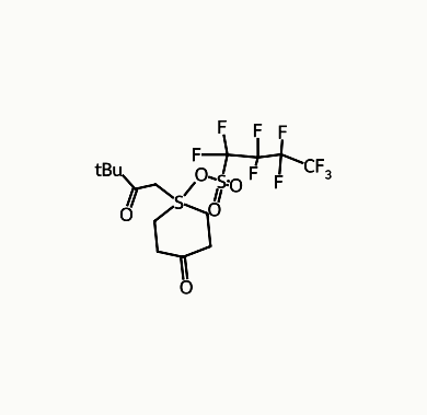 CC(C)(C)C(=O)CS1(OS(=O)(=O)C(F)(F)C(F)(F)C(F)(F)C(F)(F)F)CCC(=O)CC1